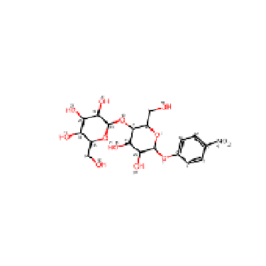 O=[N+]([O-])c1ccc(OC2OC(CO)C(OC3OC(CO)C(O)C(O)C3O)C(O)C2O)cc1